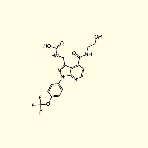 O=C(O)NCc1nn(-c2ccc(OC(F)(F)F)cc2)c2nccc(C(=O)NCCO)c12